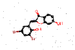 O=C1/C(=C/c2cc(Br)cc(Br)c2O)Oc2cc(O)ccc21